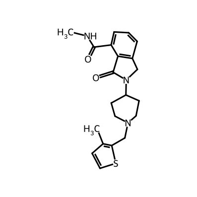 CNC(=O)c1cccc2c1C(=O)N(C1CCN(Cc3sccc3C)CC1)C2